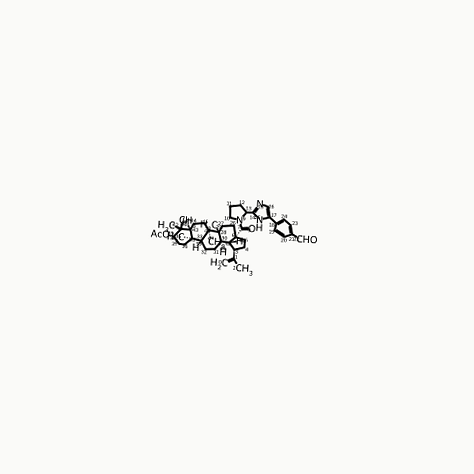 C=C(C)[C@@H]1CC[C@]2(C(=O)N3CCCC3c3ncc(-c4ccc(C=O)cc4)[nH]3)CC[C@]3(C)[C@H](CC[C@@H]4[C@@]5(C)CC[C@H](OC(C)=O)C(C)(C)[C@@H]5CC[C@]43C)[C@@H]12